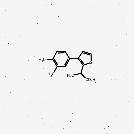 Cc1ccc(-c2ccsc2C(C)C(=O)O)cc1C